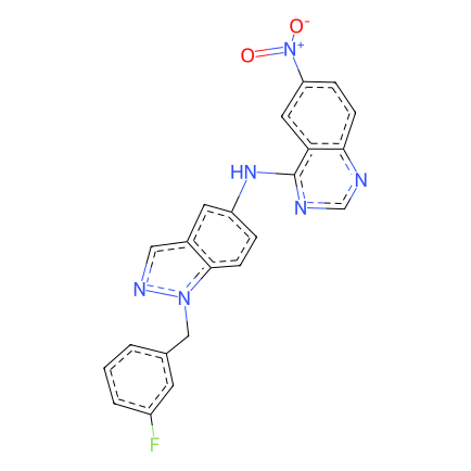 O=[N+]([O-])c1ccc2ncnc(Nc3ccc4c(cnn4Cc4cccc(F)c4)c3)c2c1